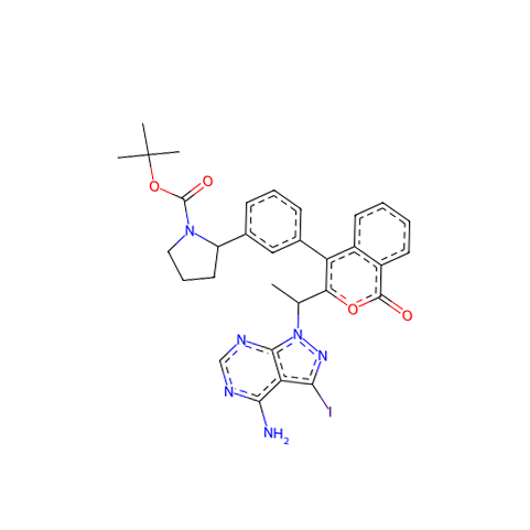 CC(c1oc(=O)c2ccccc2c1-c1cccc(C2CCCN2C(=O)OC(C)(C)C)c1)n1nc(I)c2c(N)ncnc21